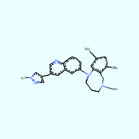 COc1cc(OC)c2c(c1)N(c1ccc3ncc(-c4cnn(C)c4)cc3c1)CCCN(C(C)C)C2